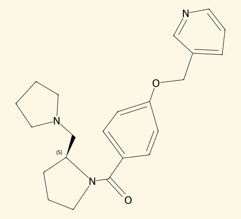 O=C(c1ccc(OCc2cccnc2)cc1)N1CCC[C@H]1CN1CCCC1